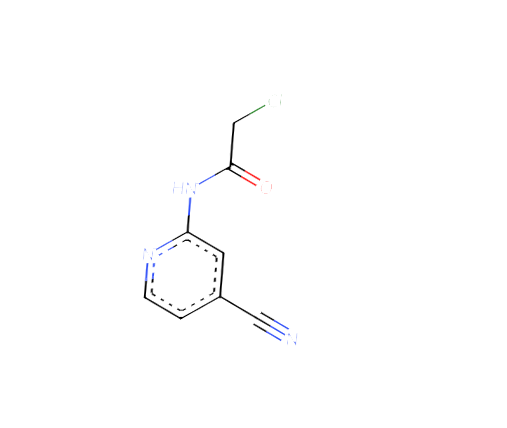 N#Cc1ccnc(NC(=O)CCl)c1